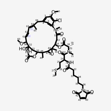 COc1cc2cc(c1Cl)N(C)C(=O)CC(OC(=O)[C@H](C)N(C)C(=O)C(CCSC)NC(=O)CCCCCN1C(=O)C=CC1=O)C1(C)OC1C(C)C1CC(O)(NC(=O)O1)C(OC)/C=C/C=C(\C)C2